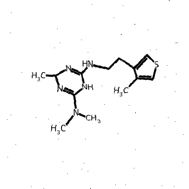 Cc1cscc1CCNC1=NC(C)N=C(N(C)C)N1